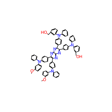 COc1cccc(N(c2ccccc2)c2ccc(-c3nc4nc(-c5ccc(N(c6ccccc6)c6cccc(CO)c6)cc5)c(-c5ccc(N(c6ccccc6)c6cccc(CO)c6)cc5)nc4nc3-c3ccc(N(c4ccccc4)c4cccc(OC)c4)cc3)cc2)c1